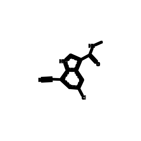 CNC(=O)c1c[nH]c2c(C#N)cc(Cl)cc12